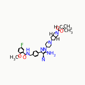 COc1ccc(F)cc1C(=O)NCc1ccc(-c2nn(C3CCN(C4C[C@@H]5CN(C(=O)OC(C)(C)C)C[C@@H]5C4)CC3)c(N)c2C#N)cc1